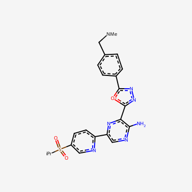 CNCc1ccc(-c2nnc(-c3nc(-c4ccc(S(=O)(=O)C(C)C)cn4)cnc3N)o2)cc1